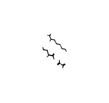 NCCC(N)C(=O)O.NCCCCCC(N)C(=O)O.O=C(O)C(=O)O